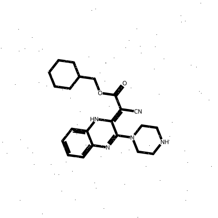 N#CC(C(=O)OCC1CCCCC1)=C1Nc2ccccc2N=C1N1CCNCC1